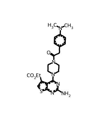 CCOC(=O)c1csc2nc(N)nc(N3CCN(C(=O)Cc4ccc(N(C)C)cc4)CC3)c12